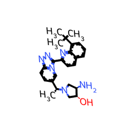 C[C@@H](c1ccc2nnc(-c3ccc4cccc(C(C)(C)C)c4n3)n2c1)N1C[C@@H](N)[C@H](O)C1